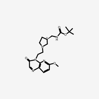 COc1ccc2ncc(=O)n(CCN3CC[C@@H](CNC(=O)OC(C)(C)C)C3)c2n1